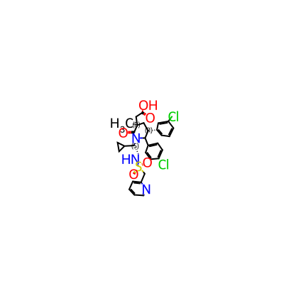 C[C@]1(CC(=O)O)C[C@H](c2cccc(Cl)c2)C(c2ccc(Cl)cc2)N([C@H](CNS(=O)(=O)Cc2ccccn2)C2CC2)C1=O